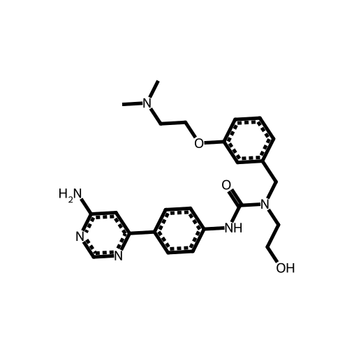 CN(C)CCOc1cccc(CN(CCO)C(=O)Nc2ccc(-c3cc(N)ncn3)cc2)c1